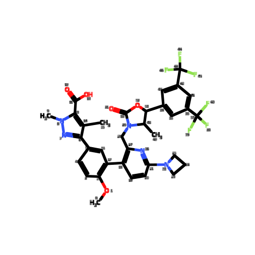 COc1ccc(-c2nn(C)c(C(=O)O)c2C)cc1-c1ccc(N2CCC2)nc1CN1C(=O)OC(c2cc(C(F)(F)F)cc(C(F)(F)F)c2)C1C